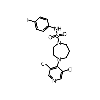 O=S(=O)(Nc1ccc(I)cc1)N1CCCN(c2c(Cl)cncc2Cl)CC1